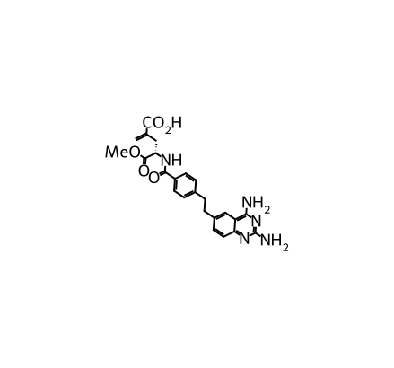 C=C(C[C@H](NC(=O)c1ccc(CCc2ccc3nc(N)nc(N)c3c2)cc1)C(=O)OC)C(=O)O